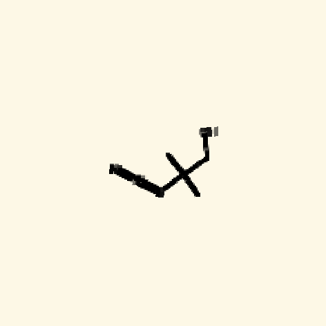 CC(C)(CO)N=[N+]=[N-]